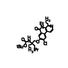 CCn1c(=O)c2cc(OCC(C)(CC(C)C)NC(=O)OC(C)(C)C)c(Cl)cc2c2ccnc(C)c21